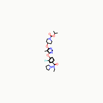 CCN(C(=O)c1ccc(Oc2ncnc(OC3CCN(C(=O)OC(C)C)CC3)c2C)c(F)c1)N1CCCC1